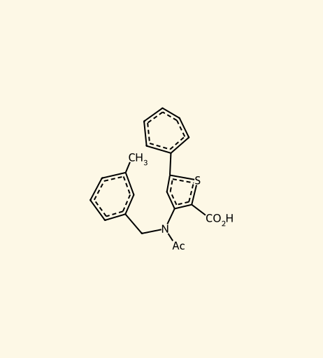 CC(=O)N(Cc1cccc(C)c1)c1cc(-c2ccccc2)sc1C(=O)O